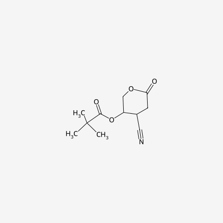 CC(C)(C)C(=O)OC1COC(=O)CC1C#N